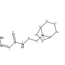 O=C(/C=N\O)NCCN1C2CCCC1CC2